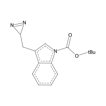 CC(C)(C)OC(=O)n1cc(CC2N=N2)c2ccccc21